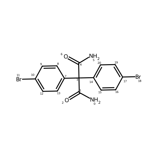 NC(=O)C(C(N)=O)(c1ccc(Br)cc1)c1ccc(Br)cc1